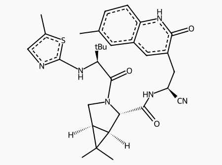 Cc1ccc2[nH]c(=O)c(C[C@@H](C#N)NC(=O)[C@@H]3[C@@H]4[C@H](CN3C(=O)[C@@H](Nc3ncc(C)s3)C(C)(C)C)C4(C)C)cc2c1